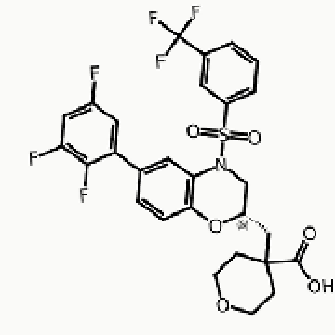 O=C(O)C1(C[C@H]2CN(S(=O)(=O)c3cccc(C(F)(F)F)c3)c3cc(-c4cc(F)cc(F)c4F)ccc3O2)CCOCC1